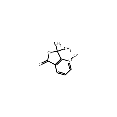 CC1(C)OC(=O)c2ccc[n+]([O-])c21